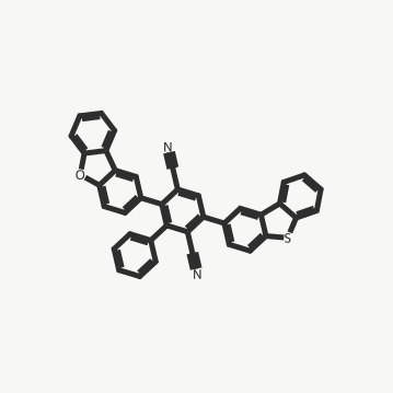 N#Cc1cc(-c2ccc3sc4ccccc4c3c2)c(C#N)c(-c2ccccc2)c1-c1ccc2oc3ccccc3c2c1